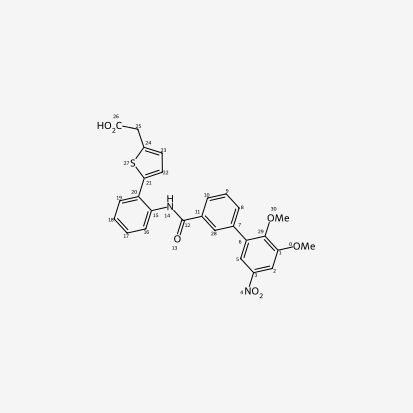 COc1cc([N+](=O)[O-])cc(-c2cccc(C(=O)Nc3ccccc3-c3ccc(CC(=O)O)s3)c2)c1OC